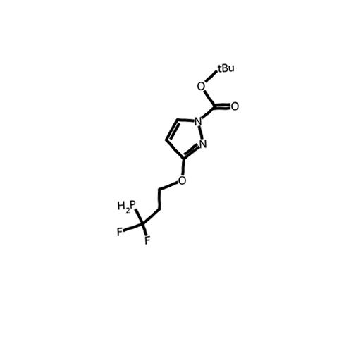 CC(C)(C)OC(=O)n1ccc(OCCC(F)(F)P)n1